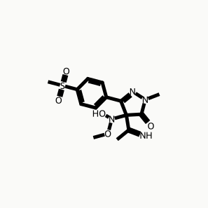 CON(O)C1(C(C)=N)C(=O)N(C)N=C1c1ccc(S(C)(=O)=O)cc1